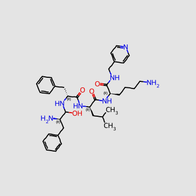 CC(C)C[C@@H](NC(=O)[C@@H](Cc1ccccc1)NC(O)[C@H](N)Cc1ccccc1)C(=O)N[C@H](CCCCN)C(=O)NCc1ccncc1